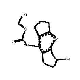 CCC1CCc2c1nc1c(c2NC(=O)OCC(Cl)(Cl)Cl)CCC1